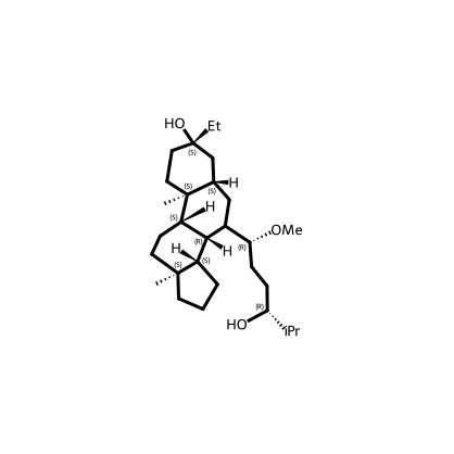 CC[C@]1(O)CC[C@@]2(C)[C@@H](CC([C@@H](CC[C@@H](O)C(C)C)OC)[C@@H]3[C@@H]4CCC[C@@]4(C)CC[C@@H]32)C1